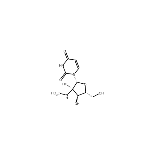 O=C(O)N[C@]1(O)[C@H](O)[C@@H](CO)O[C@H]1n1ccc(=O)[nH]c1=O